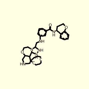 O=C(N[C@H]1CCOc2ccccc21)c1cccc(NCC2NNC3C4C(CNCC45CCCCCCCC5)OCCN23)c1